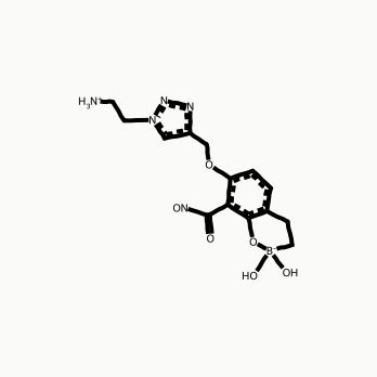 [NH3+]CCn1cc(COc2ccc3c(c2C(=O)N=O)O[B-](O)(O)CC3)nn1